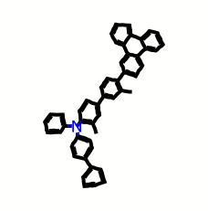 Cc1cc(-c2ccc(N(c3ccccc3)c3ccc(-c4ccccc4)cc3)c(C)c2)ccc1-c1ccc2c3ccccc3c3ccccc3c2c1